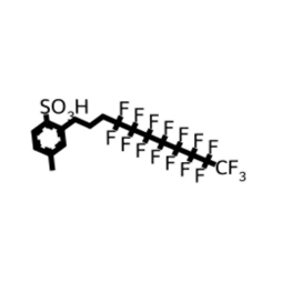 Cc1ccc(S(=O)(=O)O)c(CCCC(F)(F)C(F)(F)C(F)(F)C(F)(F)C(F)(F)C(F)(F)C(F)(F)C(F)(F)F)c1